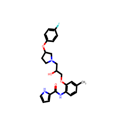 Cc1ccc(NC(=O)c2ccc[nH]2)c(OCC(O)CN2CCC(Oc3ccc(F)cc3)C2)c1